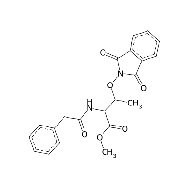 COC(=O)C(NC(=O)Cc1ccccc1)C(C)ON1C(=O)c2ccccc2C1=O